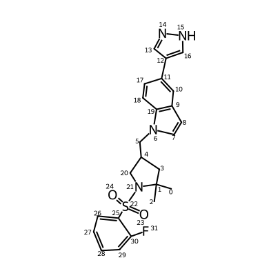 CC1(C)CC(Cn2ccc3cc(-c4cn[nH]c4)ccc32)CN1S(=O)(=O)c1ccccc1F